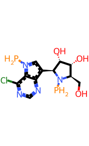 OC[C@@H]1[C@@H](O)[C@@H](O)[C@H](c2cn(P)c3c(Cl)ncnc23)N1P